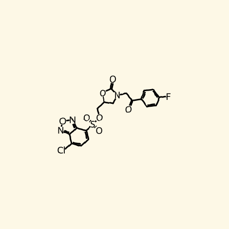 O=C(CN1CC(COS(=O)(=O)c2ccc(Cl)c3nonc23)OC1=O)c1ccc(F)cc1